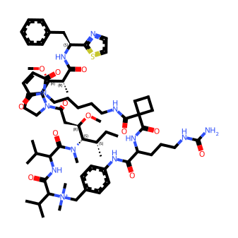 CC[C@H](C)[C@@H]([C@@H](CC(=O)N1CCCC1[C@H](OC)[C@@H](C)C(=O)N[C@@H](Cc1ccccc1)c1nccs1)OC)N(C)C(=O)C(NC(=O)C(C(C)C)[N+](C)(C)Cc1ccc(NC(=O)C(CCCNC(N)=O)NC(=O)C2(C(=O)NCCCCCN3C(=O)C=CC3=O)CCC2)cc1)C(C)C